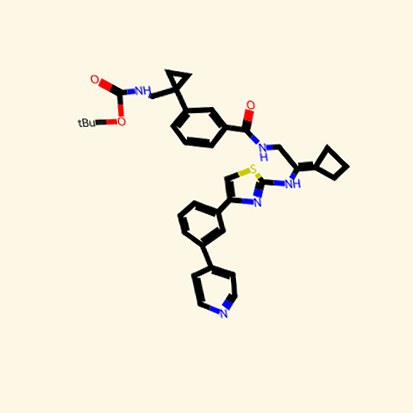 CC(C)(C)OC(=O)NCC1(c2cccc(C(=O)NCC(Nc3nc(-c4cccc(-c5ccncc5)c4)cs3)=C3CCC3)c2)CC1